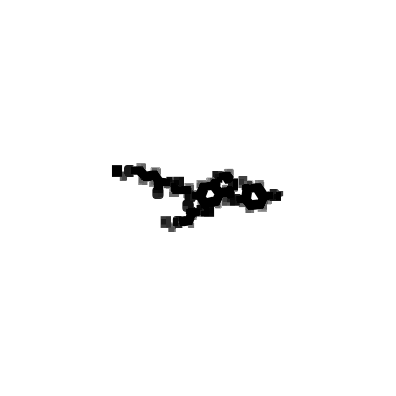 C=CC(=O)Nc1cc2c(Nc3ccc(Br)cc3F)ncnc2cc1OCCNC(=O)C=CCC